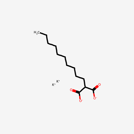 CCCCCCCCCCC(C(=O)[O-])C(=O)[O-].[K+].[K+]